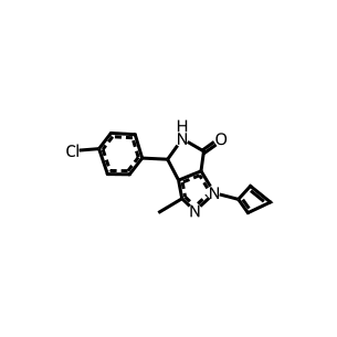 Cc1nn(C2=CC=C2)c2c1C(c1ccc(Cl)cc1)NC2=O